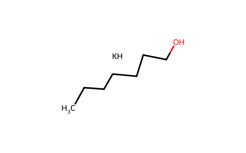 CCCCCCCO.[KH]